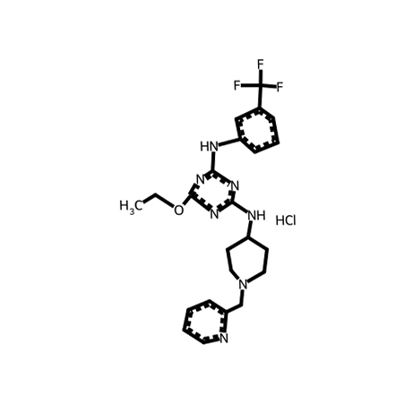 CCOc1nc(Nc2cccc(C(F)(F)F)c2)nc(NC2CCN(Cc3ccccn3)CC2)n1.Cl